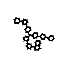 c1ccc(-c2ccc(-c3ccc(N(c4ccc(-c5cccc(-c6ccccc6)c5)cc4)c4cccc(-c5cccc(-c6cccc7ccccc67)c5)c4)cc3)cc2)cc1